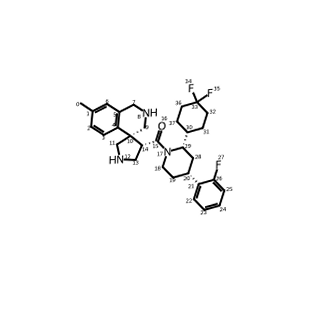 Cc1ccc2c(c1)CNC[C@]21CNC[C@H]1C(=O)N1CC[C@@H](c2ccccc2F)C[C@H]1C1CCC(F)(F)CC1